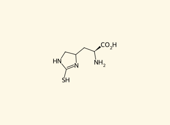 N[C@@H](CC1CNC(S)=N1)C(=O)O